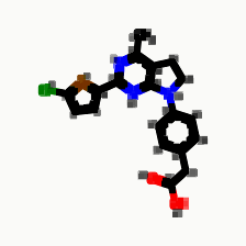 Cc1nc(-c2ccc(Cl)s2)nc2c1CCN2c1ccc(CC(=O)O)cc1